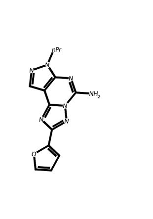 CCCn1ncc2c1nc(N)n1nc(-c3ccco3)nc21